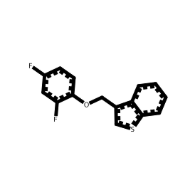 Fc1ccc(OCc2csc3ccccc23)c(F)c1